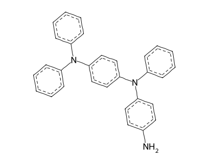 Nc1ccc(N(c2ccccc2)c2ccc(N(c3ccccc3)c3ccccc3)cc2)cc1